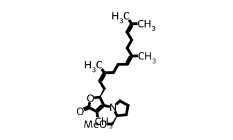 COC[C@@H]1CCCN1C1=C(C)C(=O)O[C@H]1CC=C(C)CCC=C(C)CCC=C(C)C